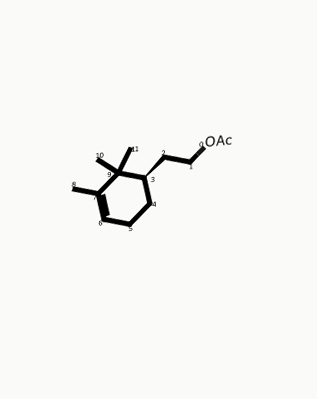 CC(=O)OCC[C@H]1CCC=C(C)C1(C)C